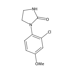 COc1ccc(N2CCNC2=O)c(Cl)c1